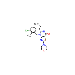 CSCCc1nc(=O)c2sc(N3CCOCC3)nc2n1Cc1cccc(Cl)c1C